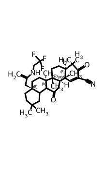 C=C(C[C@]12CCC(C)(C)CC1C1C(=O)C[C@@H]3[C@@]4(C)C=C(C#N)C(=O)C(C)(C)[C@@H]4CC[C@@]3(C)[C@]1(C)CC2)NCC(F)(F)F